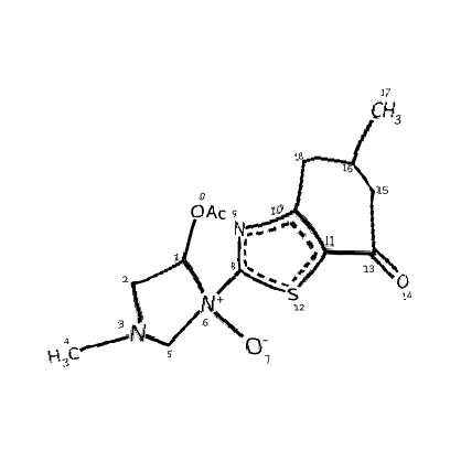 CC(=O)OC1CN(C)C[N+]1([O-])c1nc2c(s1)C(=O)CC(C)C2